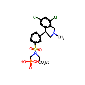 CCOC(=O)CN(CP(=O)(O)O)S(=O)(=O)c1cccc(C2CN(C)Cc3c(Cl)cc(Cl)cc32)c1